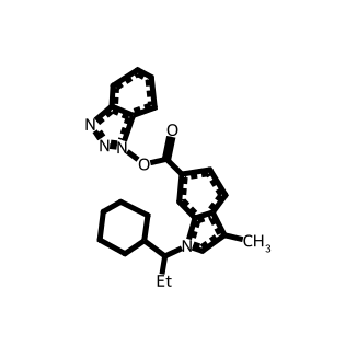 CCC(C1CCCCC1)n1cc(C)c2ccc(C(=O)On3nnc4ccccc43)cc21